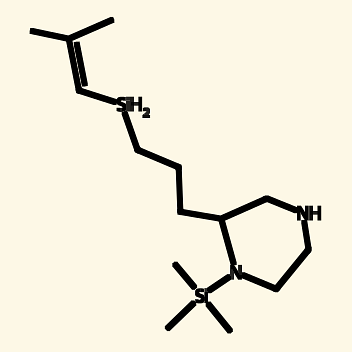 CC(C)=C[SiH2]CCCC1CNCCN1[Si](C)(C)C